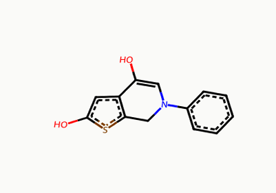 OC1=CN(c2ccccc2)Cc2sc(O)cc21